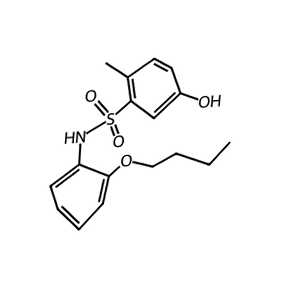 CCCCOc1ccccc1NS(=O)(=O)c1cc(O)ccc1C